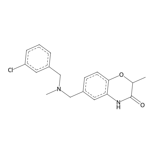 CC1Oc2ccc(CN(C)Cc3cccc(Cl)c3)cc2NC1=O